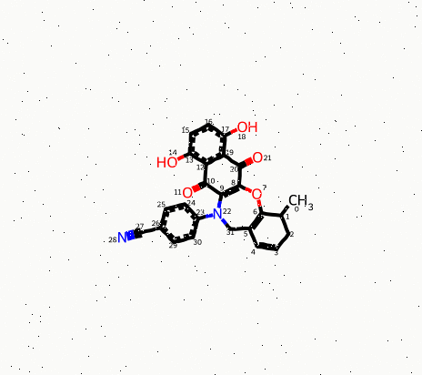 CC1CC=CC2=C1OC1=C(C(=O)c3c(O)ccc(O)c3C1=O)N(c1ccc(C#N)cc1)C2